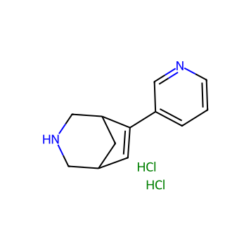 C1=C(c2cccnc2)C2CNCC1C2.Cl.Cl